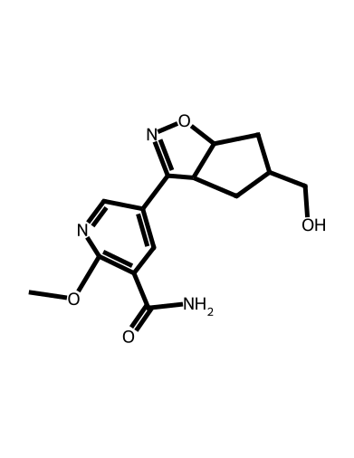 COc1ncc(C2=NOC3CC(CO)CC23)cc1C(N)=O